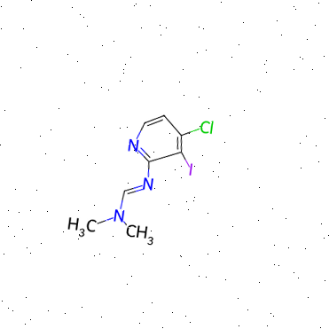 CN(C)/C=N/c1nccc(Cl)c1I